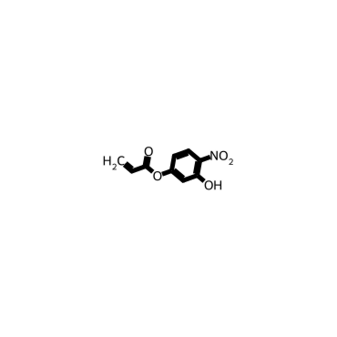 C=CC(=O)Oc1ccc([N+](=O)[O-])c(O)c1